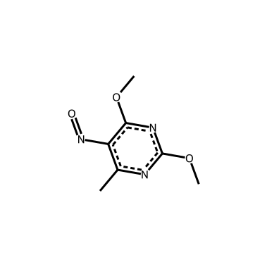 COc1nc(C)c(N=O)c(OC)n1